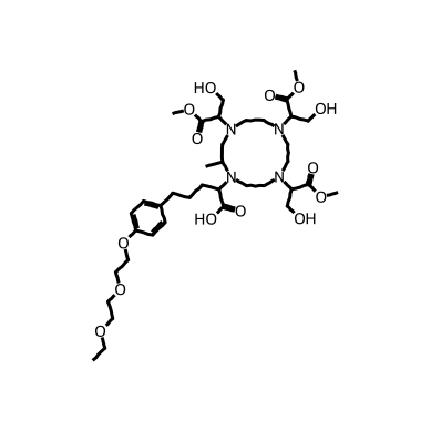 CCOCCOCCOc1ccc(CCCC(C(=O)O)N2CCN(C(CO)C(=O)OC)CCN(C(CO)C(=O)OC)CCN(C(CO)C(=O)OC)CC2C)cc1